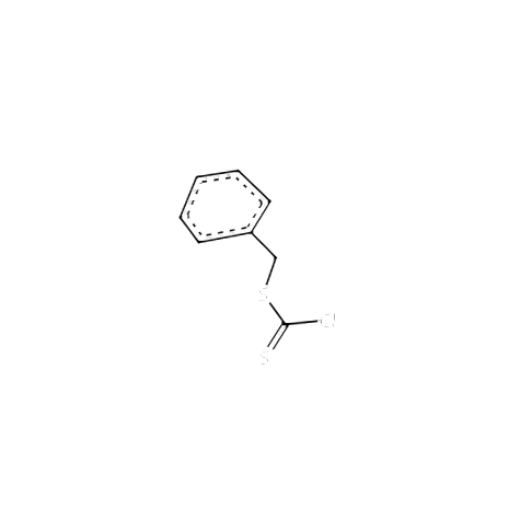 S=C(Cl)SCc1ccccc1